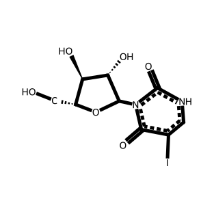 O=c1[nH]cc(I)c(=O)n1C1O[C@H](CO)[C@@H](O)[C@@H]1O